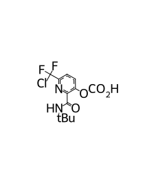 CC(C)(C)NC(=O)c1nc(C(F)(F)Cl)ccc1OC(=O)O